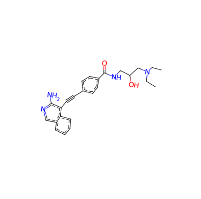 CCN(CC)CC(O)CNC(=O)c1ccc(C#Cc2c(N)ncc3ccccc23)cc1